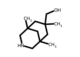 CC1(CO)CC2(C)CNCC(C)(C1)C2